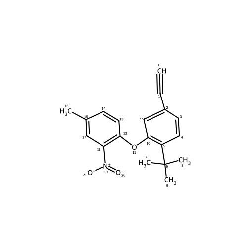 C#Cc1ccc(C(C)(C)C)c(Oc2ccc(C)cc2[N+](=O)[O-])c1